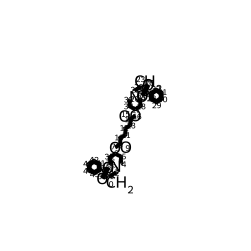 C=C(CN1CCC(OC(=O)CCCCC(=O)OC2CCN(CC(=C)S(=O)(=O)c3ccccc3)CC2)CC1)S(=O)(=O)c1ccccc1